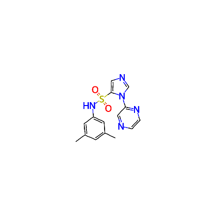 Cc1cc(C)cc(NS(=O)(=O)c2cncn2-c2cnccn2)c1